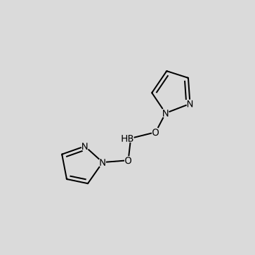 B(On1cccn1)On1cccn1